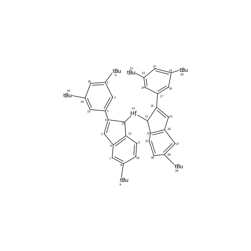 CC(C)(C)c1cc(C2=Cc3cc(C(C)(C)C)ccc3[CH]2[Hf][CH]2C(c3cc(C(C)(C)C)cc(C(C)(C)C)c3)=Cc3cc(C(C)(C)C)ccc32)cc(C(C)(C)C)c1